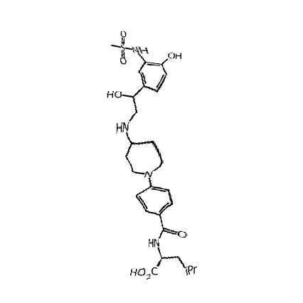 CC(C)C[C@H](NC(=O)c1ccc(N2CCC(NCC(O)c3ccc(O)c(NS(C)(=O)=O)c3)CC2)cc1)C(=O)O